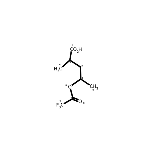 CC(CC(C)C(=O)O)OC(=O)C(F)(F)F